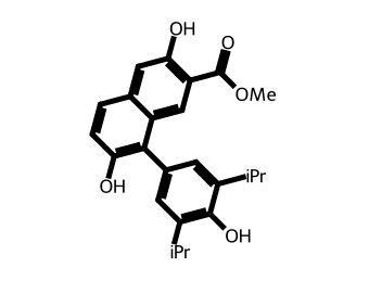 COC(=O)c1cc2c(-c3cc(C(C)C)c(O)c(C(C)C)c3)c(O)ccc2cc1O